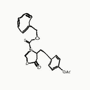 CC(=O)Oc1ccc(CC2C(=O)OCN2C(=O)OCc2ccccc2)cc1